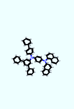 C1=CC2=C(N(c3ccc(N(c4ccc(-c5ccccc5)cc4)c4cc(-c5ccccc5)cc(-c5ccccc5)c4)cc3)c3ccc4ccccc4c3)C=CCC2CC1